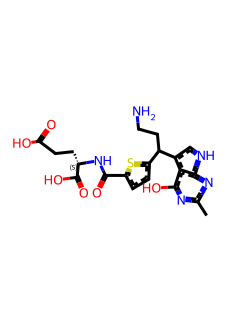 Cc1nc(O)c2c(C(CCN)c3ccc(C(=O)N[C@@H](CCC(=O)O)C(=O)O)s3)c[nH]c2n1